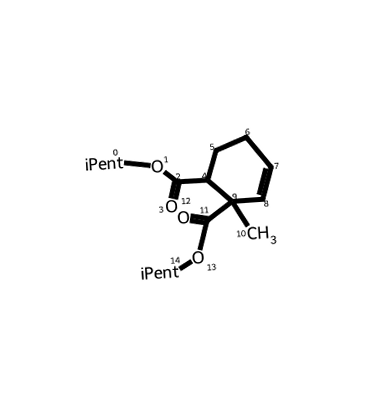 CCCC(C)OC(=O)C1CCC=CC1(C)C(=O)OC(C)CCC